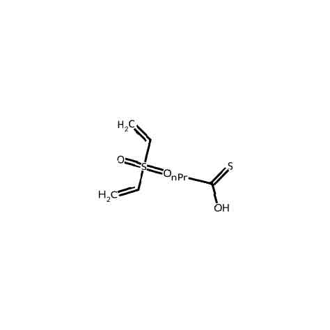 C=CS(=O)(=O)C=C.CCCC(O)=S